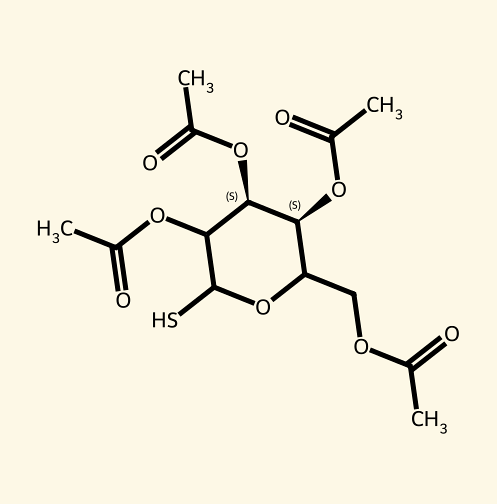 CC(=O)OCC1OC(S)C(OC(C)=O)[C@@H](OC(C)=O)[C@H]1OC(C)=O